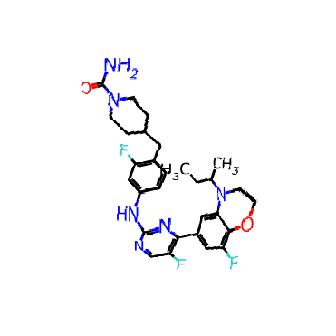 CCC(C)N1CCOc2c(F)cc(-c3nc(Nc4ccc(CC5CCN(C(N)=O)CC5)c(F)c4)ncc3F)cc21